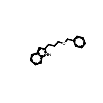 [CH](COCc1ccccc1)Cc1cc2ccccc2[nH]1